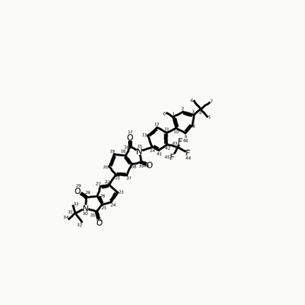 Cc1cc(C(C)(C)C)ccc1-c1ccc(N2C(=O)c3ccc(-c4ccc5c(c4)C(=O)N(C(C)(C)C)C5=O)cc3C2=O)cc1C(F)(F)F